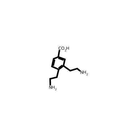 NCCc1ccc(C(=O)O)cc1CCN